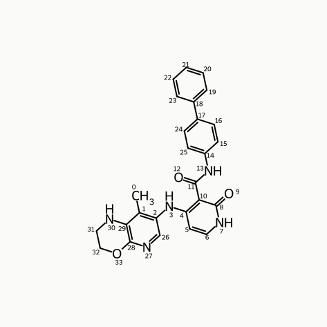 Cc1c(Nc2cc[nH]c(=O)c2C(=O)Nc2ccc(-c3ccccc3)cc2)cnc2c1NCCO2